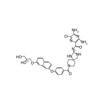 Nc1nc(N)c(C(=O)/N=C2\NCC3(CCN(C(=O)c4ccc(Oc5ccc6ccc(OC[C@@H](O)CO)cc6c5)cc4)CC3)N2)nc1Cl